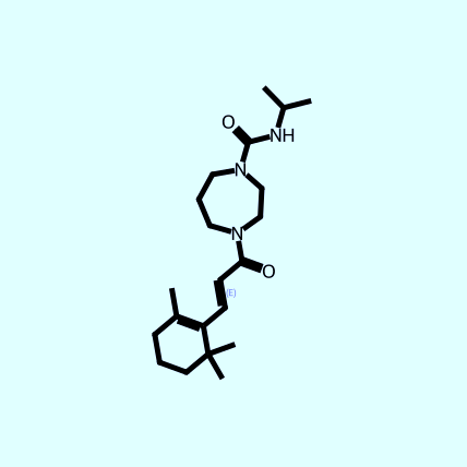 CC1=C(/C=C/C(=O)N2CCCN(C(=O)NC(C)C)CC2)C(C)(C)CCC1